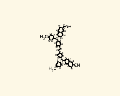 Cc1ccc(N(c2ccc(/C=C/c3ccc(N(c4ccc(C)cc4)c4ccc5cc(C=N)ccc5c4)cc3)cc2)c2ccc3cc(C#N)ccc3c2)cc1